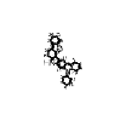 c1ccc(-n2c3ccccc3c3cc4c(cc32)[nH]c2ccc3c5ccccc5oc3c24)cc1